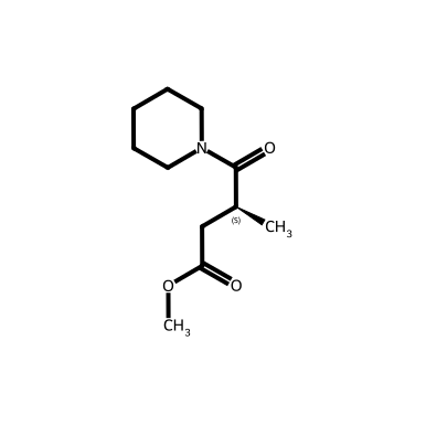 COC(=O)C[C@H](C)C(=O)N1CCCCC1